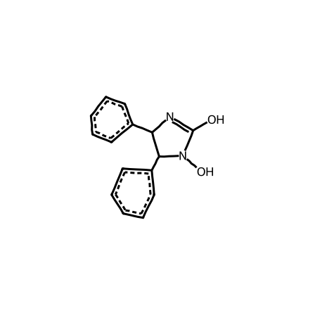 OC1=NC(c2ccccc2)C(c2ccccc2)N1O